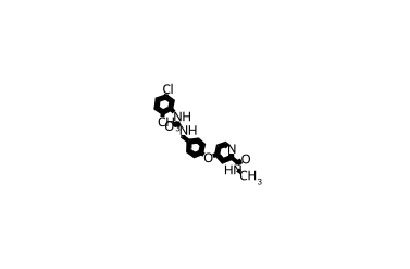 CNC(=O)c1cc(Oc2ccc(CNC(=O)Nc3cc(Cl)ccc3C)cc2)ccn1